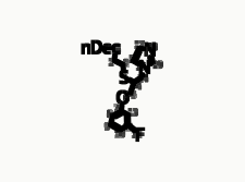 CCCCCCCCCCCCSC(COc1cccc(F)c1)Cn1ccnc1